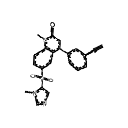 C#Cc1cccc(-c2cc(=O)n(C)c3ccc(S(=O)(=O)c4cncn4C)cc23)c1